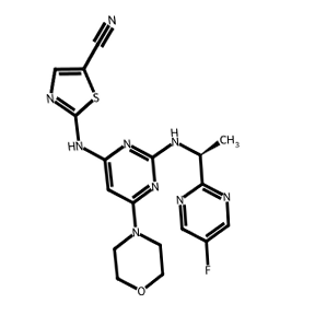 C[C@H](Nc1nc(Nc2ncc(C#N)s2)cc(N2CCOCC2)n1)c1ncc(F)cn1